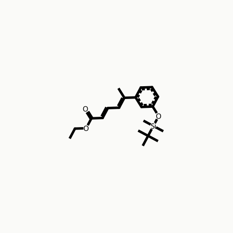 CCOC(=O)C=CC=C(C)c1cccc(O[Si](C)(C)C(C)(C)C)c1